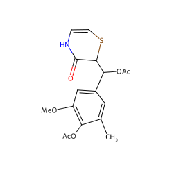 COc1cc(C(OC(C)=O)C2SC=CNC2=O)cc(C)c1OC(C)=O